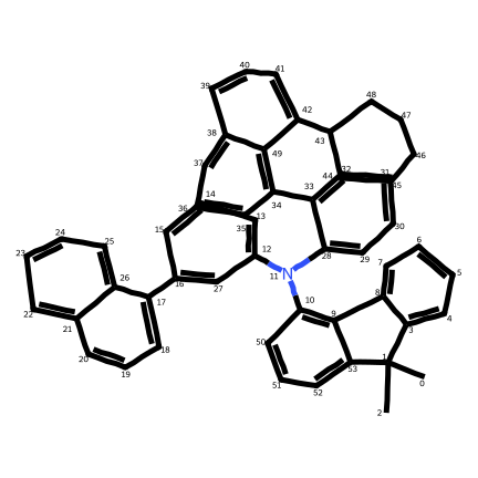 CC1(C)c2ccccc2-c2c(N(c3cccc(-c4cccc5ccccc45)c3)c3ccccc3-c3cccc4cccc(C5CCCCC5)c34)cccc21